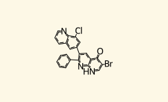 O=c1c(Br)c[nH]c2nc(-c3ccccc3)c(-c3cc(Cl)c4ncccc4c3)cc12